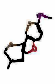 CPc1cc2oc3c(c2s1)SCC(C)=C3